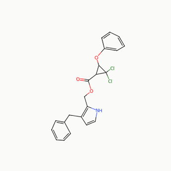 O=C(OCc1[nH]ccc1Cc1ccccc1)C1C(Oc2ccccc2)C1(Cl)Cl